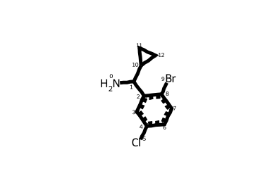 NC(c1cc(Cl)ccc1Br)C1CC1